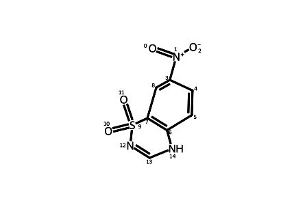 O=[N+]([O-])c1ccc2c(c1)S(=O)(=O)N=CN2